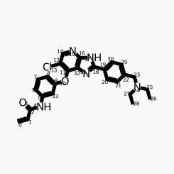 C=CC(=O)Nc1cccc(Oc2c(Cl)cnc3[nH]c(-c4ccc(CN(CC)CC)cc4)nc23)c1